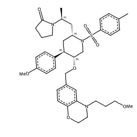 COCCCN1CCOc2ccc(CO[C@H]3CN(S(=O)(=O)c4ccc(C)cc4)[C@@H](C[C@H](C)N4CCCC4=O)C[C@@H]3c3ccc(OC)cc3)cc21